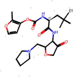 CCC(C)(C)C[C@H](NC(=O)Oc1ccoc1C)C(=O)NC1C(=O)COC1CN1CCCC1